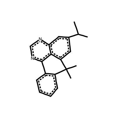 CC(C)c1cc2c3c(ncnc3c1)-c1ccccc1C2(C)C